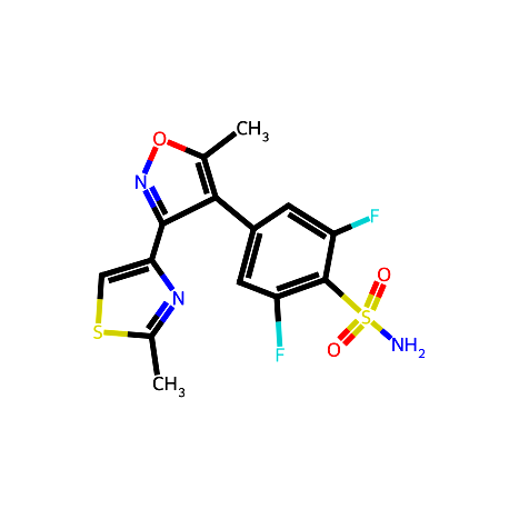 Cc1nc(-c2noc(C)c2-c2cc(F)c(S(N)(=O)=O)c(F)c2)cs1